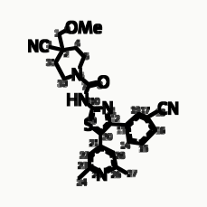 COCC1(C#N)CCN(C(=O)Nc2nc(-c3cccc(C#N)c3)c(-c3cc(C)nc(C)c3)s2)CC1